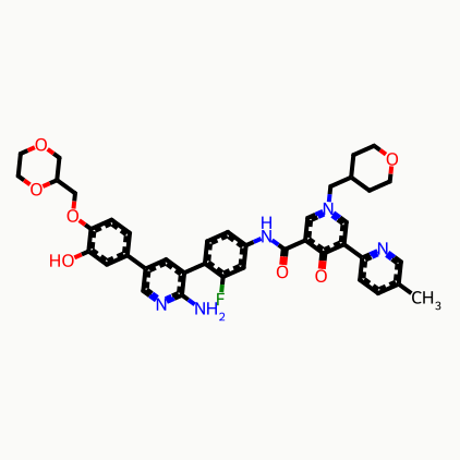 Cc1ccc(-c2cn(CC3CCOCC3)cc(C(=O)Nc3ccc(-c4cc(-c5ccc(OCC6COCCO6)c(O)c5)cnc4N)c(F)c3)c2=O)nc1